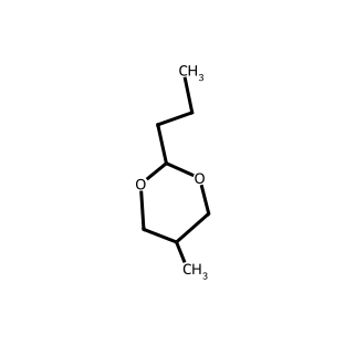 CCCC1OCC(C)CO1